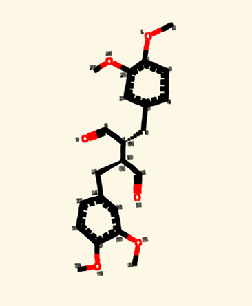 COc1ccc(C[C@@H](C=O)[C@@H](C=O)Cc2ccc(OC)c(OC)c2)cc1OC